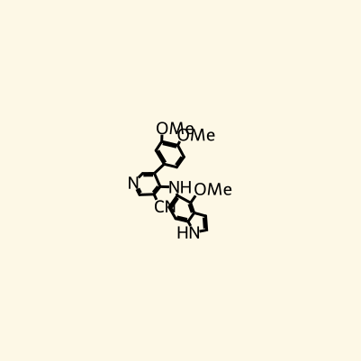 COc1ccc(-c2cncc(C#N)c2Nc2ccc3[nH]ccc3c2OC)cc1OC